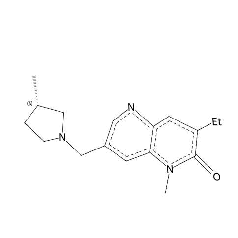 CCc1cc2ncc(CN3CC[C@H](C)C3)cc2n(C)c1=O